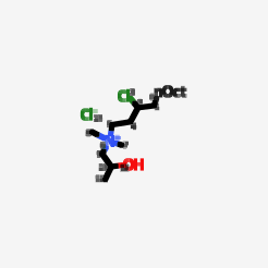 CCCCCCCCCC(Cl)CC[N+](C)(C)CC(C)O.[Cl-]